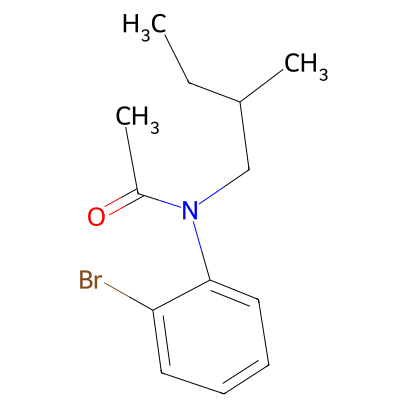 CCC(C)CN(C(C)=O)c1ccccc1Br